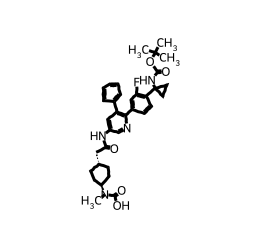 CN(C(=O)O)[C@H]1CC[C@H](CC(=O)Nc2cnc(-c3ccc(C4(NC(=O)OC(C)(C)C)CC4)c(F)c3)c(-c3ccccc3)c2)CC1